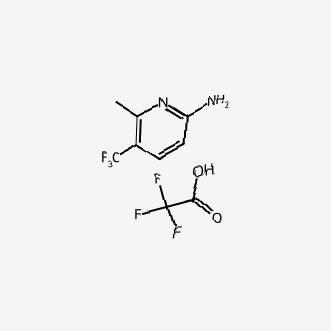 Cc1nc(N)ccc1C(F)(F)F.O=C(O)C(F)(F)F